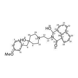 COc1cccc(CC2(O)CCN(CCN3C(=O)c4cccc5cccc(c45)C3O)CC2)c1